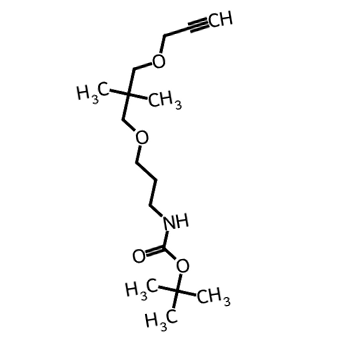 C#CCOCC(C)(C)COCCCNC(=O)OC(C)(C)C